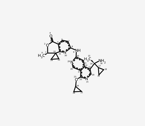 C[C@H]1OC(=O)c2ccc(Nc3cc4c([C@](C)(N)C5CC5)cnc(OC5CC5)c4cn3)nc2C12CC2